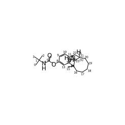 CC(C)(C)NC(=O)Oc1ccc2c(c1)[C@@]1(C)CCCCC[C@@H](C2)[C@@H]1N